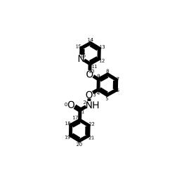 O=C(NOc1ccccc1Oc1ccccn1)c1ccccc1